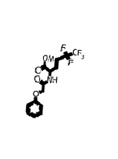 COC(=O)C(CCC(F)(F)C(F)(F)F)NC(=O)COc1ccccc1